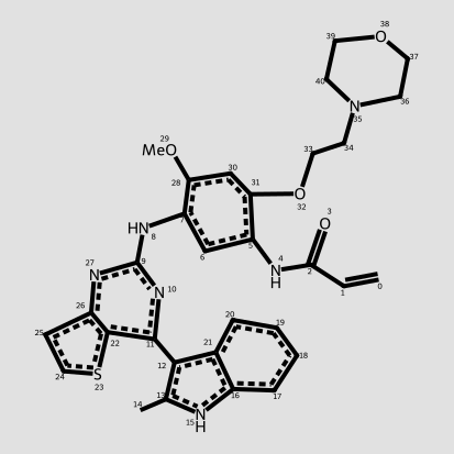 C=CC(=O)Nc1cc(Nc2nc(-c3c(C)[nH]c4ccccc34)c3sccc3n2)c(OC)cc1OCCN1CCOCC1